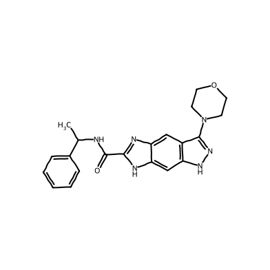 CC(NC(=O)c1nc2cc3c(N4CCOCC4)n[nH]c3cc2[nH]1)c1ccccc1